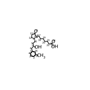 Cc1cccc(C[C@H](O)CC[C@H]2CCC(=O)N2CCCCCCC(=O)O)c1